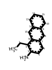 CCc1c(N)ccc2cc3ccccc3cc12